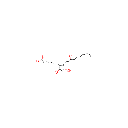 CCCCCC(=O)/C=C/[C@@H]1C(CCCCCCC(=O)O)C(=O)C[C@H]1O